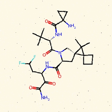 CC(C)(C)[C@H](NC(=O)C1(N)CC1)C(=O)N1C[C@]2(C[C@H]1C(=O)NC(CC(F)F)C(=O)C(N)=O)C(C)(C)C21CCC1